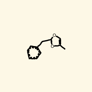 CC1=COC(Cc2ccccc2)O1